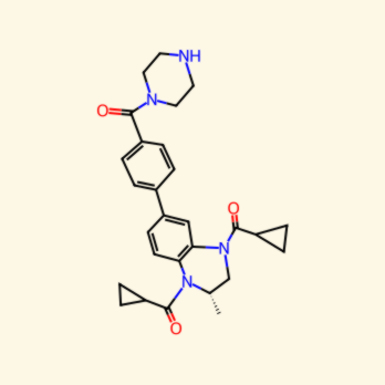 C[C@H]1CN(C(=O)C2CC2)c2cc(-c3ccc(C(=O)N4CCNCC4)cc3)ccc2N1C(=O)C1CC1